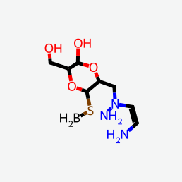 BSC1OC(CO)C(O)OC1CN(N)/C=C\N